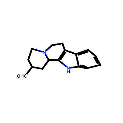 O=CC1CCN2CCc3c([nH]c4ccccc34)C2C1